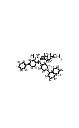 C=C/C=C(\C=C)c1cc(-c2cccc3ccccc23)ccc1N(C(=C)C)c1ccc(-c2ccccc2)cc1